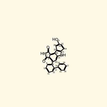 O=C1NC(=O)c2c1c(-c1ccccc1-c1ccccc1)cc1[nH]c3ccc(O)cc3c21